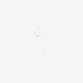 CCOCCO[CH]c1cccc(F)c1